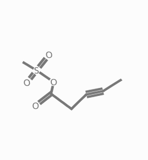 CC#CCC(=O)OS(C)(=O)=O